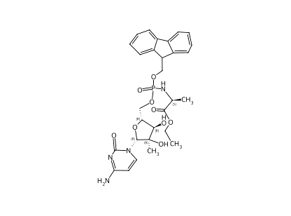 CCOC(=O)[C@H](C)NP(=O)(OCC1c2ccccc2-c2ccccc21)OC[C@H]1O[C@@H](n2ccc(N)nc2=O)[C@](C)(O)[C@@H]1O